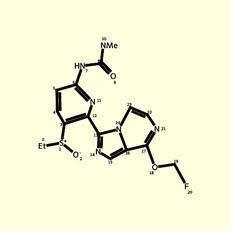 CC[S+]([O-])c1ccc(NC(=O)NC)nc1-c1ncc2c(OCF)nccn12